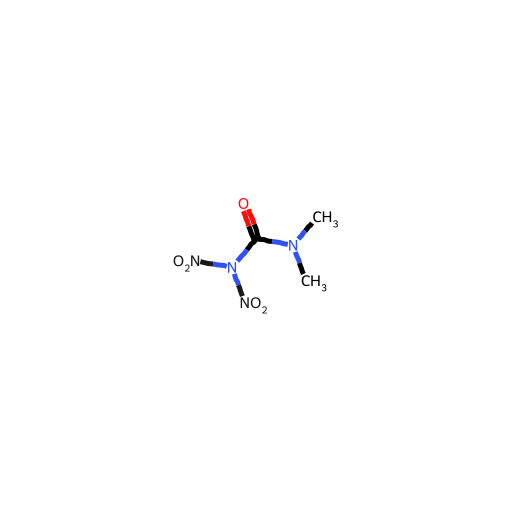 CN(C)C(=O)N([N+](=O)[O-])[N+](=O)[O-]